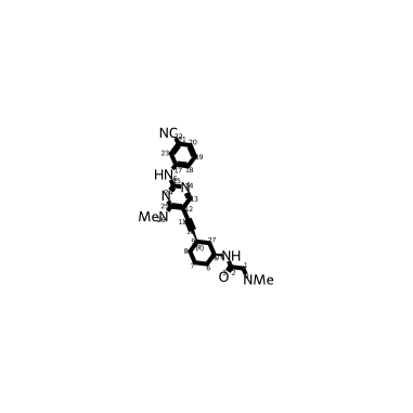 CNCC(=O)N[C@H]1CCC[C@@H](C#Cc2cnc(Nc3cccc(C#N)c3)nc2NC)C1